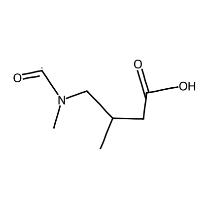 CC(CC(=O)O)CN(C)[C]=O